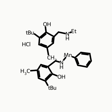 CCNCc1cc(C)cc(C(C)(C)C)c1O.Cc1cc(C[NH][Mn][c]2ccccc2)c(O)c(C(C)(C)C)c1.Cl